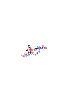 Cc1sc(NC(=O)OC(C)(C)C)nc1/C(=N/O[C@@H](COc1ccc(C(=N)NC2CN(C(=O)OC(C)(C)C)C2)cc1)C(=O)OC(c1ccccc1)c1ccccc1)C(=O)O